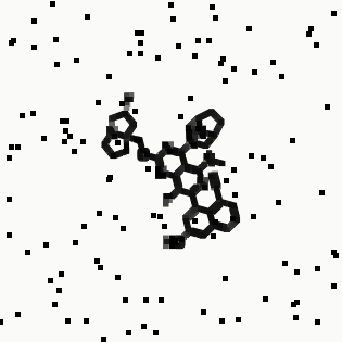 C#Cc1cccc2cc(O)cc(-c3nc(N(C)C)c4c(N5CC6CCC(C5)N6)nc(OC[C@@]56CCCN5C[C@H](F)C6)nc4c3F)c12